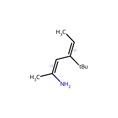 C/C=C(\C=C(\C)N)C(C)(C)C